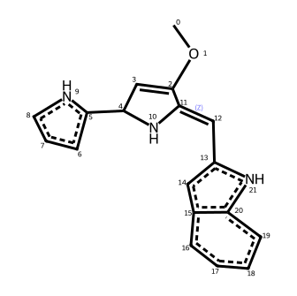 COC1=CC(c2ccc[nH]2)N/C1=C\c1cc2ccccc2[nH]1